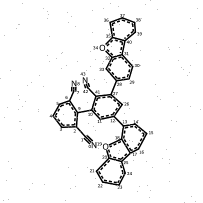 N#Cc1cccc(C#N)c1-c1cc(-c2cccc3c2oc2ccccc23)cc(-c2ccc3c(c2)oc2ccccc23)c1C#N